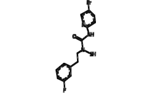 O=C(Nc1ccc(Br)cn1)N(S)CCc1cccc(F)c1